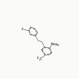 CC(=O)Nc1ccc(C(F)(F)F)cc1CCc1cccc(F)c1